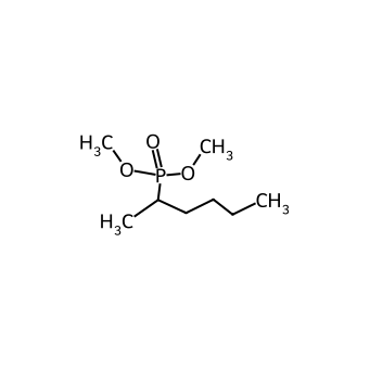 CCCCC(C)P(=O)(OC)OC